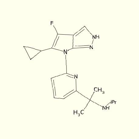 CC(C)NC(C)(C)c1cccc(-n2c(C3CC3)c(F)c3c[nH]nc32)n1